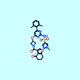 Cc1cccc(C)c1-c1cc(OC2CN(C(=O)c3coc4c3C(=O)CCC4)C2)nc(NS(=O)(=O)c2cnn(C)c2)n1